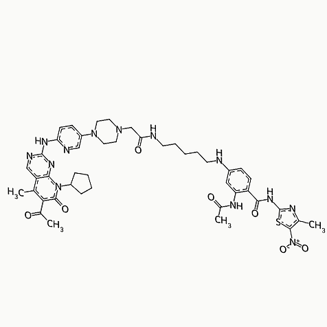 CC(=O)Nc1cc(NCCCCCNC(=O)CN2CCN(c3ccc(Nc4ncc5c(C)c(C(C)=O)c(=O)n(C6CCCC6)c5n4)nc3)CC2)ccc1C(=O)Nc1nc(C)c([N+](=O)[O-])s1